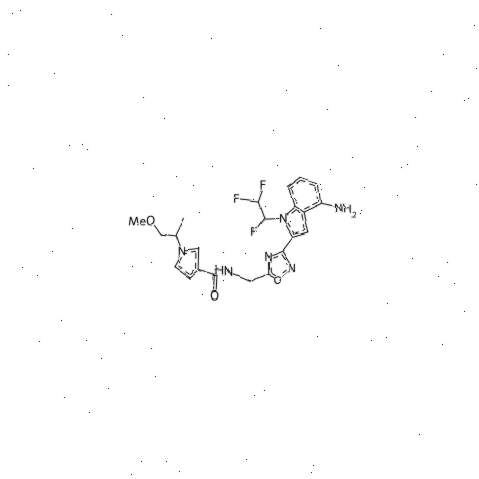 COCC(C)n1ccc(C(=O)NCc2nc(-c3cc4c(N)cccc4n3C(F)C(F)F)no2)c1